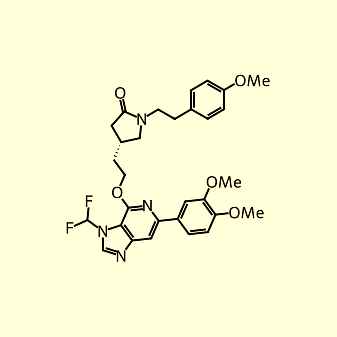 COc1ccc(CCN2C[C@H](CCOc3nc(-c4ccc(OC)c(OC)c4)cc4ncn(C(F)F)c34)CC2=O)cc1